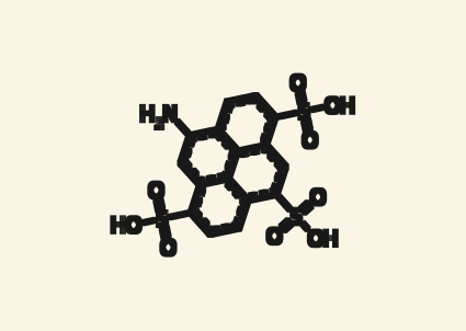 Nc1cc2c(S(=O)(=O)O)ccc3c(S(=O)(=O)O)cc4c(S(=O)(=O)O)ccc1c4c32